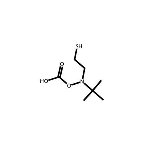 CC(C)(C)N(CCS)OC(=O)O